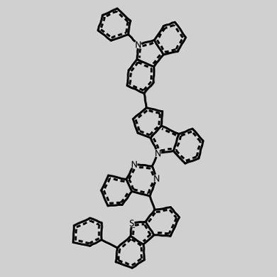 c1ccc(-c2cccc3c2sc2c(-c4nc(-n5c6ccccc6c6cc(-c7ccc8c(c7)c7ccccc7n8-c7ccccc7)ccc65)nc5ccccc45)cccc23)cc1